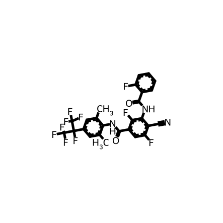 Cc1cc(C(F)(C(F)(F)F)C(F)(F)F)cc(C)c1NC(=O)c1cc(F)c(C#N)c(NC(=O)c2ccccc2F)c1F